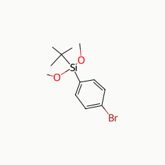 CO[Si](OC)(c1ccc(Br)cc1)C(C)(C)C